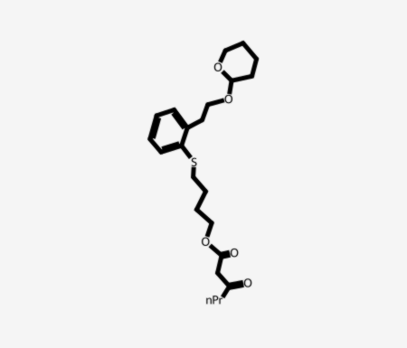 CCCC(=O)CC(=O)OCCCCSc1ccccc1CCOC1CCCCO1